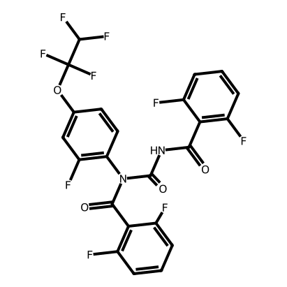 O=C(NC(=O)N(C(=O)c1c(F)cccc1F)c1ccc(OC(F)(F)C(F)F)cc1F)c1c(F)cccc1F